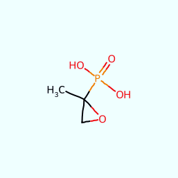 CC1(P(=O)(O)O)CO1